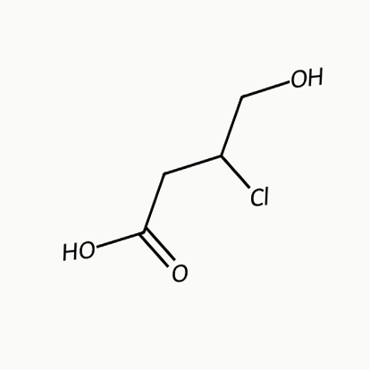 O=C(O)CC(Cl)CO